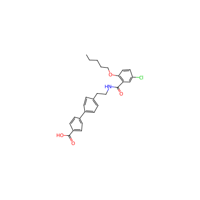 CCCCCOc1ccc(Cl)cc1C(=O)NCCc1ccc(-c2ccc(C(=O)O)cc2)cc1